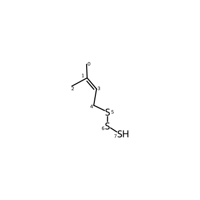 CC(C)=CCSSS